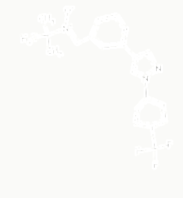 CC(C)(C)/[N+]([O-])=C/c1cccc(-c2cnn(-c3ccc(C(F)(F)F)cc3)c2)c1